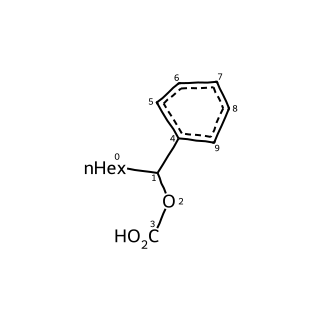 CCCCCCC(OC(=O)O)c1ccccc1